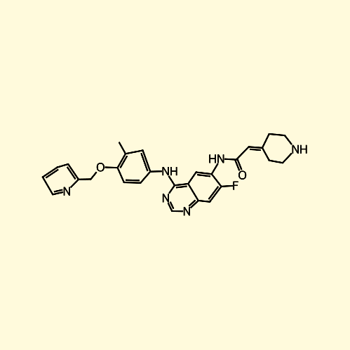 Cc1cc(Nc2ncnc3cc(F)c(NC(=O)C=C4CCNCC4)cc23)ccc1OCc1ccccn1